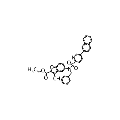 CCOC(=O)c1oc2ccc(N(Cc3ccccc3)S(=O)(=O)c3ccc(-c4ccc5ccccc5c4)cn3)cc2c1C